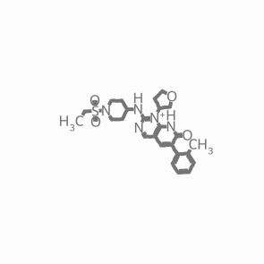 CCS(=O)(=O)N1CCC(Nc2ncc3cc(-c4ccccc4C)c(=O)[nH]c3[n+]2C2CCOC2)CC1